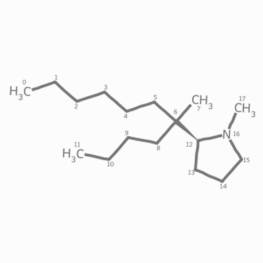 CCCCCCC(C)(CCCC)[C@@H]1CCCN1C